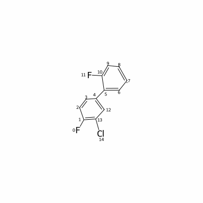 Fc1ccc(-c2c[c]ccc2F)cc1Cl